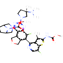 CN(C)[C@@]1(C)CCN(c2nc(N3C4CCC3CN(C(=O)OC(C)(C)C)C4)c3c4c(c(-c5ncc(F)c6sc(NC(=O)OC(C)(C)C)c(C#N)c56)c(F)c3n2)COC4)C1